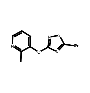 Cc1ncccc1Oc1nsc(C(C)C)n1